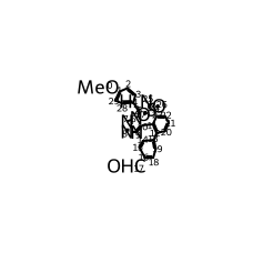 COc1ccc(Cn2nnnc2-c2c(-c3ccc(C=O)cc3)cccc2S(N)(=O)=O)cc1